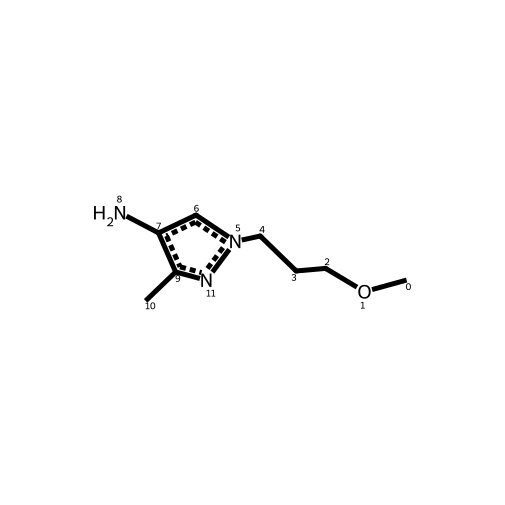 COCCCn1cc(N)c(C)n1